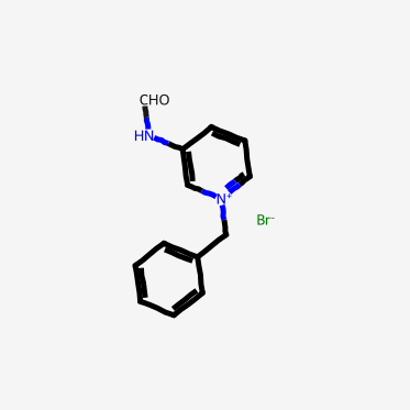 O=CNc1ccc[n+](Cc2ccccc2)c1.[Br-]